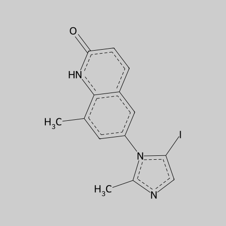 Cc1cc(-n2c(I)cnc2C)cc2ccc(=O)[nH]c12